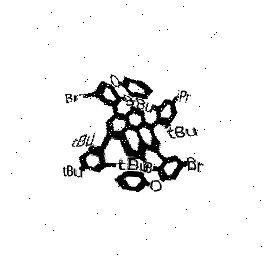 CC(C)c1cc(C(C)(C)C)c(-c2cc3c4c(cc5c(-c6c(C(C)(C)C)cc(C(C)(C)C)cc6C(C)(C)C)cc6c7c(cc2c4c57)B2c4ccccc4Oc4cc(Br)cc-6c42)B2c4ccccc4Oc4cc(Br)cc-3c42)c(C(C)(C)C)c1